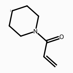 C=CC(=O)N1CC[C]CC1